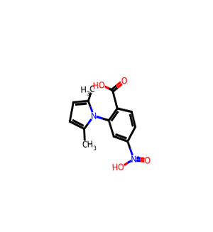 Cc1ccc(C)n1-c1cc([N+](=O)O)ccc1C(=O)O